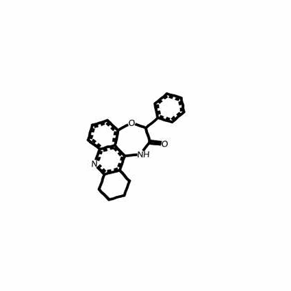 O=C1Nc2c3c(nc4cccc(c24)OC1c1ccccc1)CCCC3